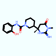 CN1C(=N)N[C@](C)(C2CCCN(C(=O)Nc3ccccc3O)C2)CC1=O